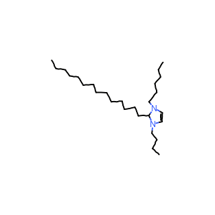 CCCCCCCCCCCCCCC1N(CCCC)C=CN1CCCCCC